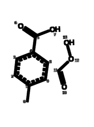 Cc1ccc(C(=O)O)cc1.O=COO